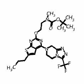 CCCc1cc2c(N3CCn4c(nnc4C(F)(F)F)C3)nc(OCCN(C)C(=O)OC(C)(C)C)nc2s1